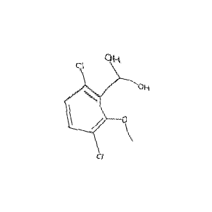 COc1c(Cl)ccc(Cl)c1C(O)O